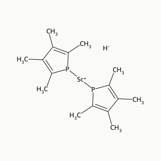 Cc1c(C)c(C)[p]([Sc+][p]2c(C)c(C)c(C)c2C)c1C.[H-]